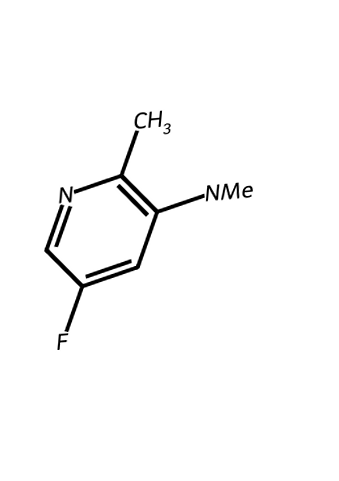 CNc1cc(F)cnc1C